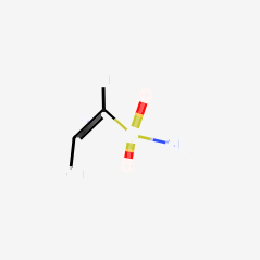 C/C=C(/C)S(N)(=O)=O